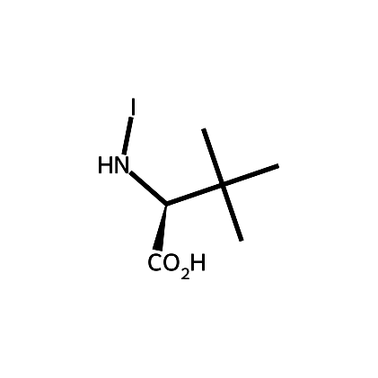 CC(C)(C)[C@H](NI)C(=O)O